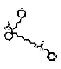 O=C(NCCCCCCCC1(N(CCCN2CCOCC2)[SH](=O)=O)CCCCC1)NCc1cccnc1